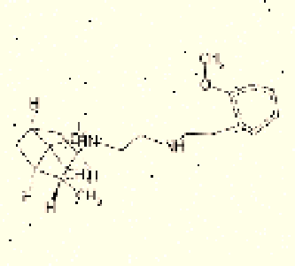 COc1ccccc1CCNCCN[C@@H]1C[C@@H]2C[C@H]([C@H]1C)C2(C)C